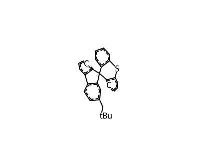 CC(C)(C)Cc1ccc2c(c1)C1(c3ccccc3Sc3ccccc31)c1ccccc1-2